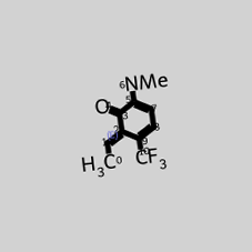 C/C=C1/C(=O)C(NC)=CC=C1C(F)(F)F